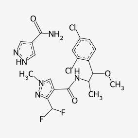 COC(c1ccc(Cl)cc1Cl)C(C)NC(=O)c1cn(C)nc1C(F)F.NC(=O)c1cn[nH]c1